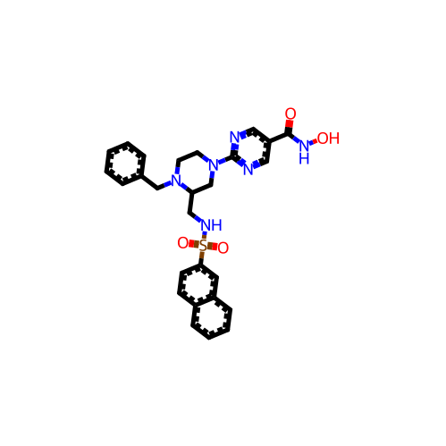 O=C(NO)c1cnc(N2CCN(Cc3ccccc3)C(CNS(=O)(=O)c3ccc4ccccc4c3)C2)nc1